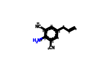 C=CCc1cc(C#N)c(N)c(C#N)c1